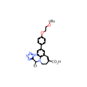 CCCCOCCOc1ccc(-c2ccc3c(c2)C=C(C(=O)O)CCN3C(CC)c2nnn[nH]2)cc1